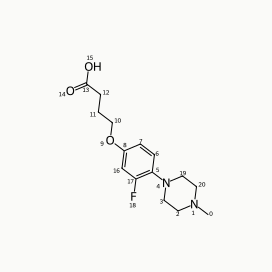 CN1CCN(c2ccc(OCCCC(=O)O)cc2F)CC1